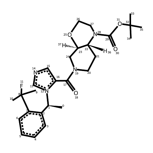 C[C@@H](c1ccccc1C(C)(C)F)n1cncc1C(=O)N1CC[C@@H]2[C@@H](C1)OCCN2C(=O)OC(C)(C)C